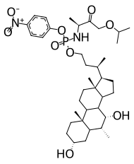 CC(C)OCC(=O)[C@H](C)NP(=O)(OCC[C@@H](C)[C@H]1CCC2C3C(CC[C@@]21C)[C@@]1(C)CC[C@@H](O)CC1[C@@H](C)[C@H]3O)Oc1ccc([N+](=O)[O-])cc1